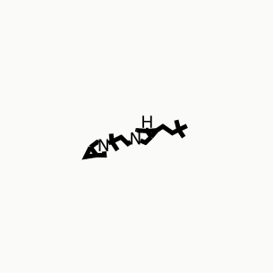 CC(C)(C)CCC1C2CN(CCC(C)(C)N3CC4CC4C3)C[C@H]12